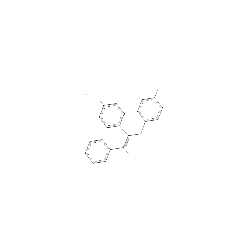 CC/C(=C(\Cc1ccc(Br)cc1)c1ccc(OC)cc1)c1ccccc1